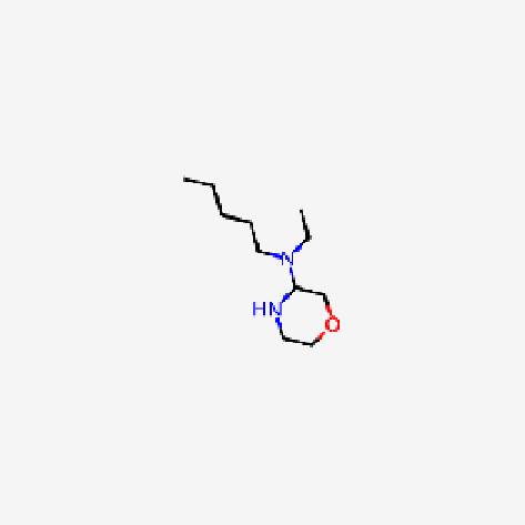 CCCCCN(CC)C1COCCN1